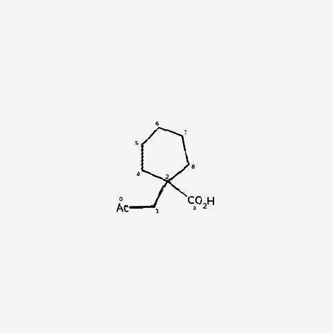 CC(=O)CC1(C(=O)O)CCCCC1